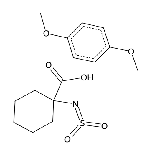 COc1ccc(OC)cc1.O=C(O)C1(N=S(=O)=O)CCCCC1